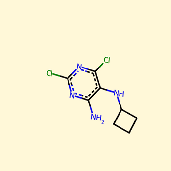 Nc1nc(Cl)nc(Cl)c1NC1CCC1